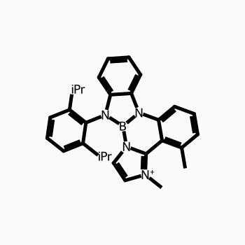 Cc1cccc2c1-c1n(cc[n+]1C)B1N2c2ccccc2N1c1c(C(C)C)cccc1C(C)C